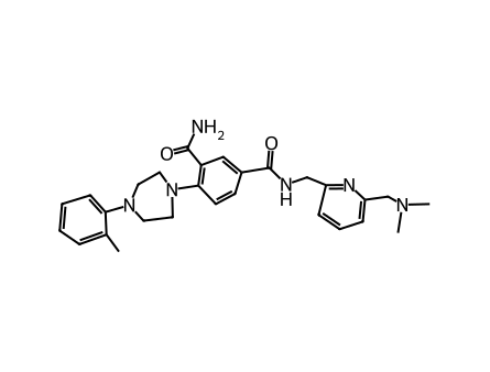 Cc1ccccc1N1CCN(c2ccc(C(=O)NCc3cccc(CN(C)C)n3)cc2C(N)=O)CC1